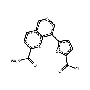 CNC(=O)c1ccc2cncc(-c3ccc(C(=O)Cl)s3)c2n1